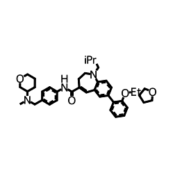 C1CCOC1.CCOc1ccccc1-c1ccc2c(c1)C=C(C(=O)Nc1ccc(CN(C)C3CCCOC3)cc1)CCN2CC(C)C